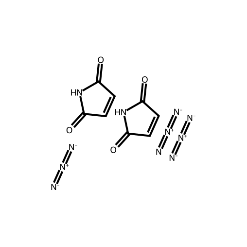 O=C1C=CC(=O)N1.O=C1C=CC(=O)N1.[N-]=[N+]=[N-].[N-]=[N+]=[N-].[N-]=[N+]=[N-]